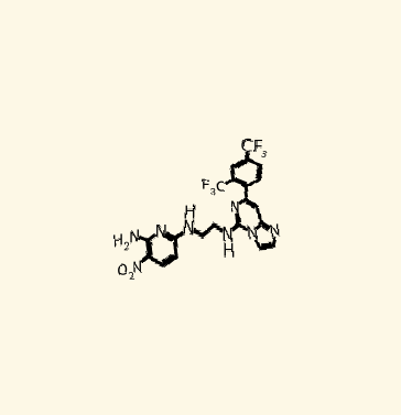 Nc1nc(NCCNc2nc(-c3ccc(C(F)(F)F)cc3C(F)(F)F)cc3nccn23)ccc1[N+](=O)[O-]